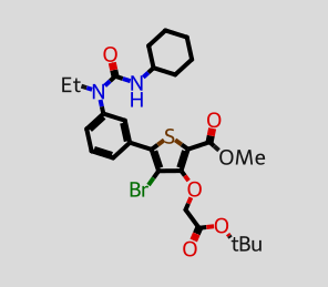 CCN(C(=O)NC1CCCCC1)c1cccc(-c2sc(C(=O)OC)c(OCC(=O)OC(C)(C)C)c2Br)c1